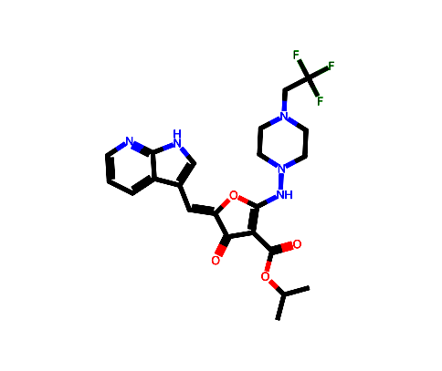 CC(C)OC(=O)C1=C(NN2CCN(CC(F)(F)F)CC2)OC(=Cc2c[nH]c3ncccc23)C1=O